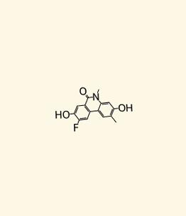 Cc1cc2c3cc(F)c(O)cc3c(=O)n(C)c2cc1O